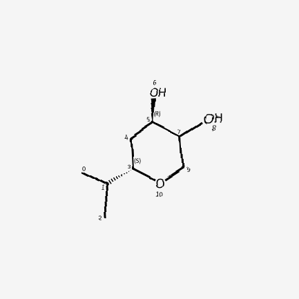 CC(C)[C@@H]1C[C@@H](O)C(O)CO1